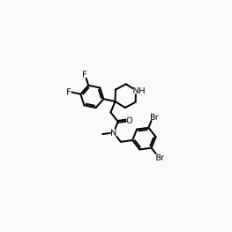 CN(Cc1cc(Br)cc(Br)c1)C(=O)CC1(c2ccc(F)c(F)c2)CCNCC1